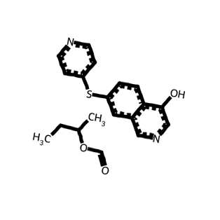 CCC(C)OC=O.Oc1cncc2cc(Sc3ccncc3)ccc12